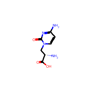 Nc1ccn(C[C@H](N)C(=O)O)c(=O)n1